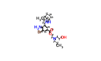 CCCN(CCO)CCOC(=O)c1cc(Br)c(N)c(CNC2(CC)CCCCC2)c1